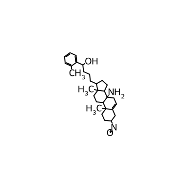 Cc1ccccc1C(O)CCCC1CCC2C1(C)CCC1C3(C)CCC(N=O)CC3=CCC12N